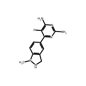 CN1NCc2cc(-c3nc(N)nc(N)c3F)ccc21